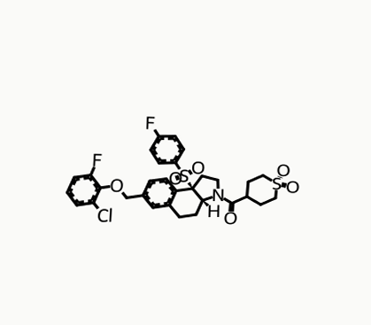 O=C(C1CCS(=O)(=O)CC1)N1CC[C@@]2(S(=O)(=O)c3ccc(F)cc3)c3ccc(COc4c(F)cccc4Cl)cc3CC[C@@H]12